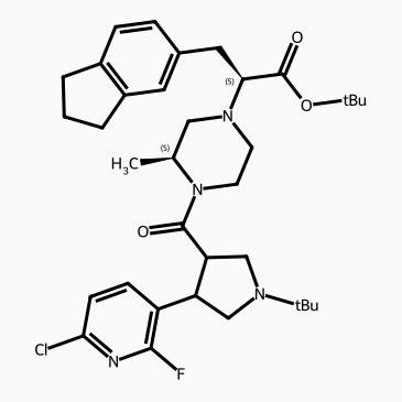 C[C@H]1CN([C@@H](Cc2ccc3c(c2)CCC3)C(=O)OC(C)(C)C)CCN1C(=O)C1CN(C(C)(C)C)CC1c1ccc(Cl)nc1F